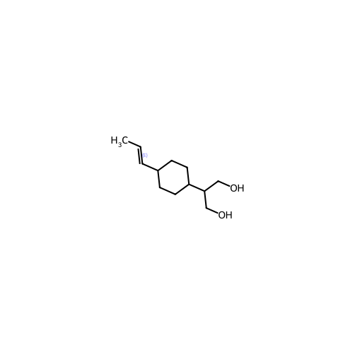 C/C=C/C1CCC(C(CO)CO)CC1